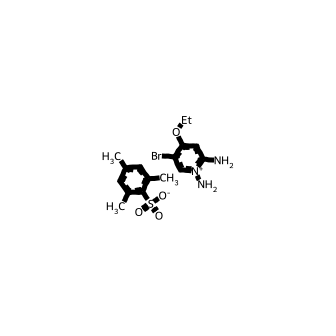 CCOc1cc(N)[n+](N)cc1Br.Cc1cc(C)c(S(=O)(=O)[O-])c(C)c1